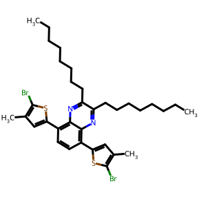 CCCCCCCCc1nc2c(-c3cc(C)c(Br)s3)ccc(-c3cc(C)c(Br)s3)c2nc1CCCCCCCC